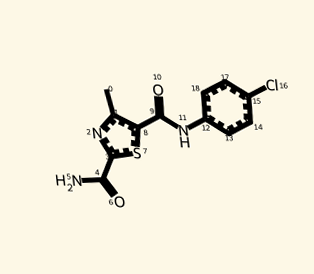 Cc1nc(C(N)=O)sc1C(=O)Nc1ccc(Cl)cc1